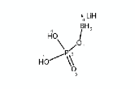 BOP(=O)(O)O.[LiH]